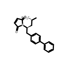 CCOC(=O)[C@H](C)C[C@@H](Cc1ccc(-c2ccccc2)cc1)N1C(=O)C=CC1=O